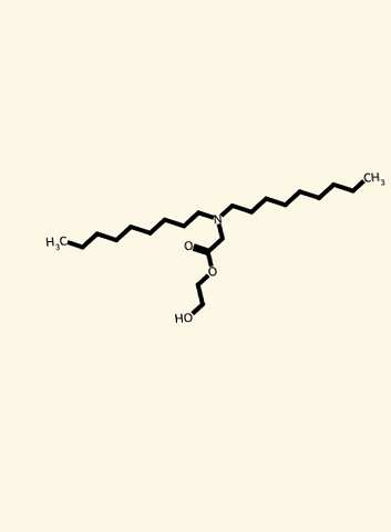 CCCCCCCCCN(CCCCCCCCC)CC(=O)OCCO